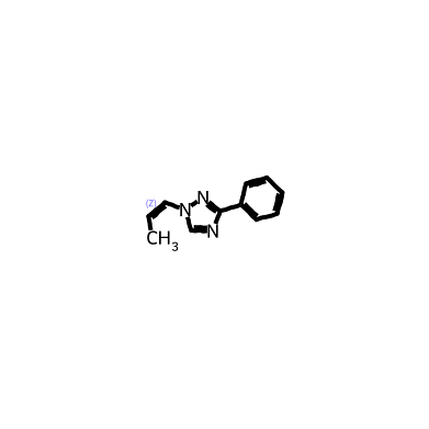 C/C=C\n1cnc(-c2ccccc2)n1